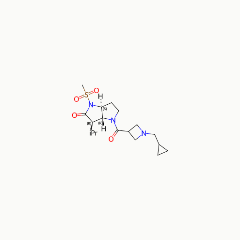 CC(C)[C@H]1C(=O)N(S(C)(=O)=O)[C@H]2CCN(C(=O)C3CN(CC4CC4)C3)[C@H]12